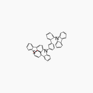 c1ccc(-c2ccccc2N(c2cccc(-c3ccccc3-n3c4ccccc4c4ccccc43)c2)c2ccc3c(c2)sc2ccccc23)cc1